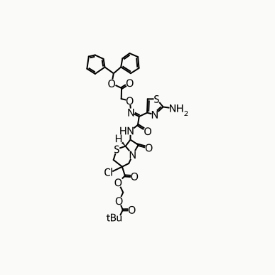 CC(C)(C)C(=O)OCOC(=O)C1(Cl)CS[C@@H]2C(NC(=O)C(=NOCC(=O)OC(c3ccccc3)c3ccccc3)c3csc(N)n3)C(=O)N2C1